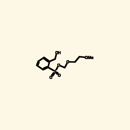 COCCOCOS(=O)(=O)c1ccccc1CO